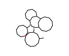 CC1CCCCCCCC(P2C3CCCCCCCC(C3)C3CCCCCC(C3)N2C2CCCCCCC2)C1